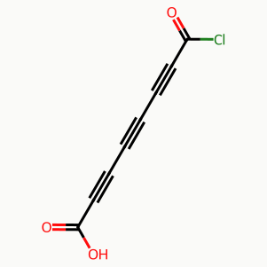 O=C(O)C#CC#CC#CC(=O)Cl